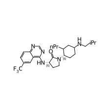 CCCC1CC(NCC(C)C)CC[C@@H]1N1CC[C@H](Nc2ncnc3ccc(C(F)(F)F)cc23)C1=O